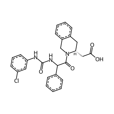 O=C(O)C[C@H]1Cc2ccccc2CN1C(=O)C(NC(=O)Nc1cccc(Cl)c1)c1ccccc1